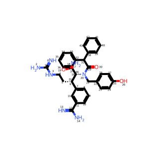 N=C(N)NCC[C@@H](c1cccc(C(=N)N)c1)[C@H](C(N)=O)N(Cc1ccc(O)cc1)C(=O)C(c1ccccc1)c1ccccc1